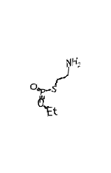 CCO[PH](=O)SCCN